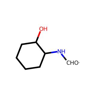 O=[C]NC1CCCCC1O